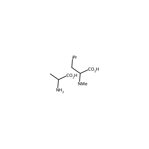 CC(N)C(=O)O.CNC(CC(C)C)C(=O)O